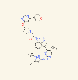 Cc1cnc(Nc2cc(C)n(C)n2)nc1-c1c[nH]c2c(NC(=O)CN3CCC(Oc4cc(C5=CCOCC5)ncn4)C3)cccc12